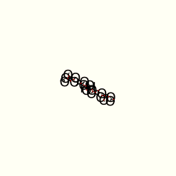 C=CC(=O)Oc1cc(OC)c(C(=O)Oc2ccc(C(=O)O[C@H]3CO[C@H]4[C@@H]3OC[C@H]4OC(=O)c3ccc(OC(=O)c4cc(OC)c(OC(=O)C=C)cc4C)c(C)c3)c(C)c2)cc1C